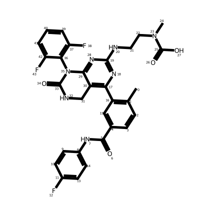 Cc1ccc(C(=O)Nc2ccc(F)cc2)cc1-c1nc(NCCN(C)C(=O)O)nc2c1CNC(=O)N2c1c(F)cccc1F